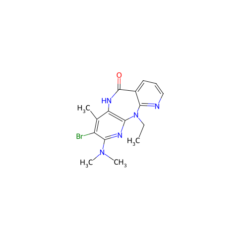 CCN1c2ncccc2C(=O)Nc2c1nc(N(C)C)c(Br)c2C